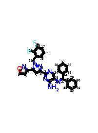 Nc1nc(-c2cc(-c3ccon3)n(Cc3cccc(F)c3F)n2)ncc1N=C(c1ccccc1)c1ccccc1